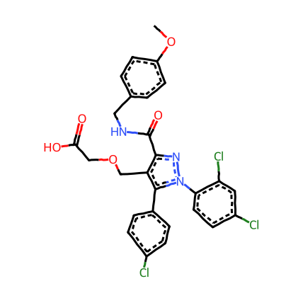 COc1ccc(CNC(=O)c2nn(-c3ccc(Cl)cc3Cl)c(-c3ccc(Cl)cc3)c2COCC(=O)O)cc1